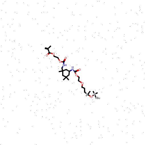 C=C(C)C(=O)OCCOC(=O)NCC1(C)CC(NC(=O)OCCOCCC[Si](C)(C)O[Si](C)(C)CCCC)CC(C)(C)C1